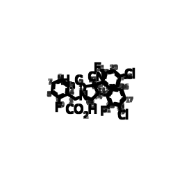 CC1N(Cc2ccccc2F)[C@@H](C(=O)O)[C@H](c2cccc(Cl)c2F)[C@@]1(C#N)c1ccc(Cl)cc1F